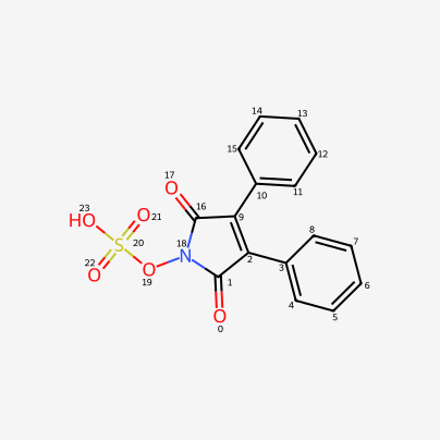 O=C1C(c2ccccc2)=C(c2ccccc2)C(=O)N1OS(=O)(=O)O